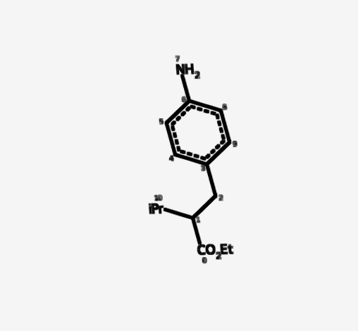 CCOC(=O)C(Cc1ccc(N)cc1)C(C)C